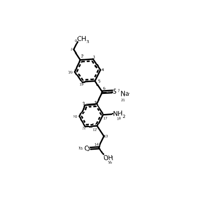 CCc1ccc(C(=S)c2cccc(CC(=O)O)c2N)cc1.[Na]